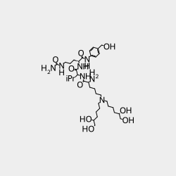 CC(C)C(NC(=O)C(N)CCCCN(CCCCC(O)CO)CCCCC(O)CO)C(=O)N[C@@H](CCCNC(N)=O)C(=O)Nc1ccc(CO)cc1